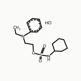 CCN(CCOS(=O)(=O)NC1CCCCC1)c1ccccc1.Cl